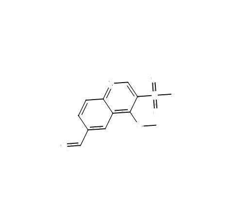 COc1c(S(C)(=O)=O)cnc2ccc(C=O)cc12